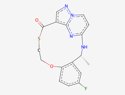 C[C@H]1Nc2ccn3ncc(c3n2)C(=O)SCCOc2ccc(F)cc21